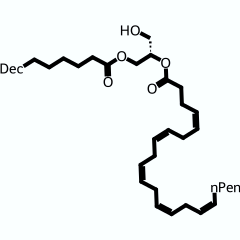 CCCCC/C=C\C/C=C\C/C=C\C/C=C\C/C=C\CCC(=O)O[C@@H](CO)COC(=O)CCCCCCCCCCCCCCC